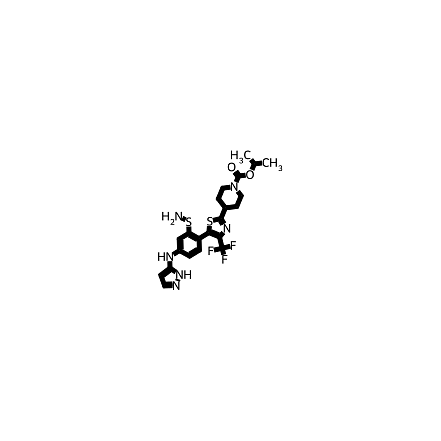 CC(C)OC(=O)N1CCC(c2nc(C(F)(F)F)c(-c3ccc(Nc4ccn[nH]4)cc3SN)s2)CC1